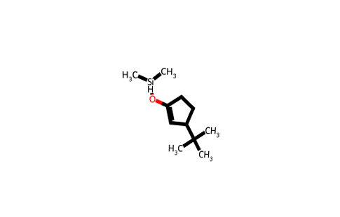 C[SiH](C)OC1=CC(C(C)(C)C)CC1